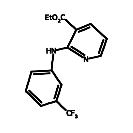 CCOC(=O)c1cccnc1Nc1cccc(C(F)(F)F)c1